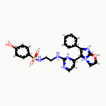 O=S(=O)(NCCNc1nccc(-c2c(-c3ccccc3)nc3occn23)n1)c1ccc(O)cc1